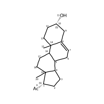 CC(=O)[C@H]1CCC2C3CC=C4C[C@@H](O)CCC4(C)C3CCC21C